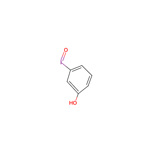 O=Ic1cccc(O)c1